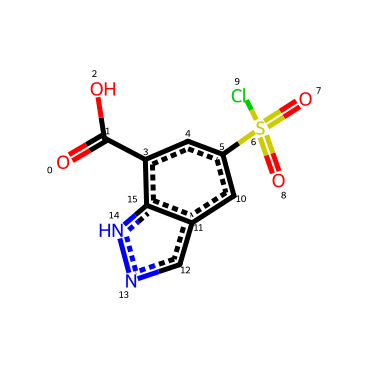 O=C(O)c1cc(S(=O)(=O)Cl)cc2cn[nH]c12